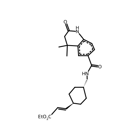 CCOC(=O)C=C[C@H]1CC[C@H](CNC(=O)c2ccc3c(c2)C(C)(C)CC(=O)N3)CC1